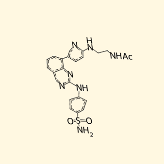 CC(=O)NCCNc1ccc(-c2cccc3cnc(Nc4ccc(S(N)(=O)=O)cc4)nc23)cn1